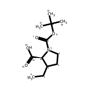 CCC1CCN(C(=O)OC(C)(C)C)[C@@H]1C(=O)O